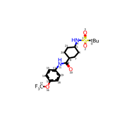 CC(C)(C)S(=O)(=O)NC1CCC(C(=O)Nc2ccc(OC(F)(F)F)cc2)CC1